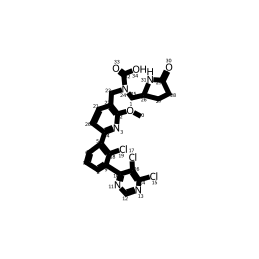 COc1nc(-c2cccc(-c3ncnc(Cl)c3Cl)c2Cl)ccc1CN(CC1CCC(=O)N1)C(=O)O